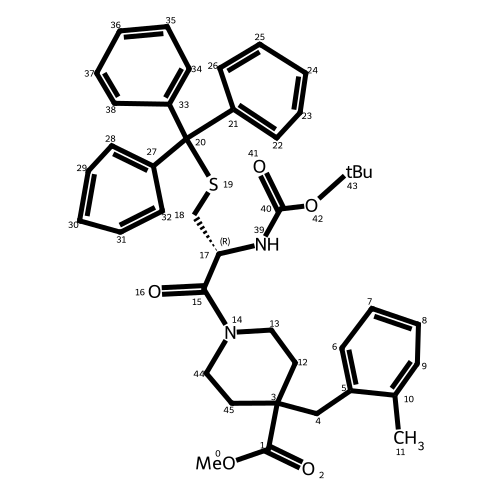 COC(=O)C1(Cc2ccccc2C)CCN(C(=O)[C@H](CSC(c2ccccc2)(c2ccccc2)c2ccccc2)NC(=O)OC(C)(C)C)CC1